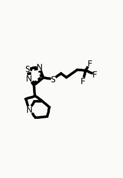 FC(F)(F)CCCSc1nsnc1C1CN2CCCC1C2